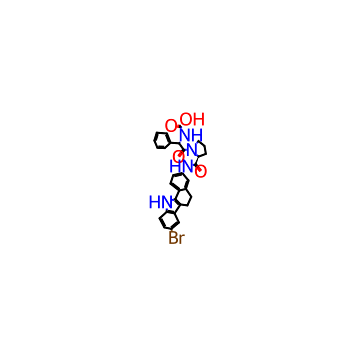 O=C(O)N[C@H](C(=O)N1CCC[C@H]1C(=O)Nc1ccc2c(c1)CCc1c-2[nH]c2ccc(Br)cc12)c1ccccc1